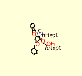 CCCCCCCC(O)CO[C@@H]1[C@@H](N(C)CCCCCCC)[C@H](OCc2ccccc2)C[C@@H]1OCc1ccccc1